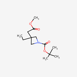 CCC1(CC(=O)OC)CN(C(=O)OC(C)(C)C)C1